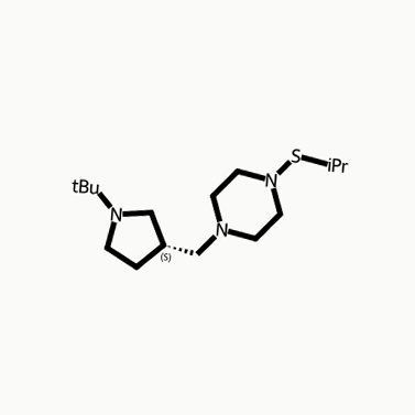 CC(C)SN1CCN(C[C@@H]2CCN(C(C)(C)C)C2)CC1